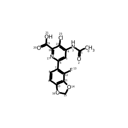 CC(=O)Nc1cc(-c2ccc3c(c2F)OCO3)nc(C(=O)O)c1Cl